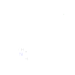 C[N+](C)(CCCCCCCCCCCCCCCl)C1CCCCC1